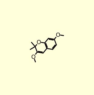 COC1=Cc2ccc(OC)cc2OC1(C)C